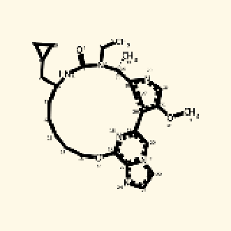 CCN1C(=O)NC(CC2CC2)CCCCCOc2nc(cn3ccnc23)-c2cc(ncc2OC)[C@H]1C